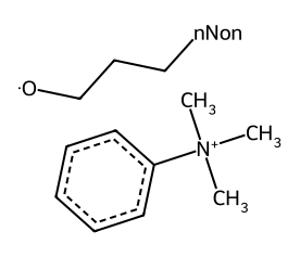 CCCCCCCCCCCC[O].C[N+](C)(C)c1ccccc1